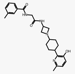 Cc1cccc(C(=O)NCC(=O)NC2CN(C3CCC(c4nc(C)ccc4O)CC3)C2)c1